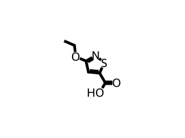 CCOc1cc(C(=O)O)sn1